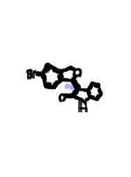 O=C1Nc2ccccc2/C1=C1\OCc2cc(Br)ccc21